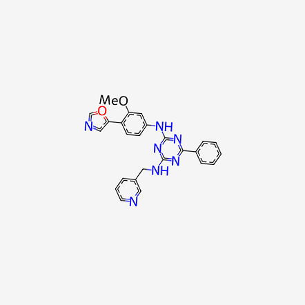 COc1cc(Nc2nc(NCc3cccnc3)nc(-c3ccccc3)n2)ccc1-c1cnco1